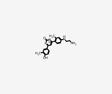 Cc1cc(-c2cc(-c3ccc(NCCN)cc3C)[nH]c(=O)n2)ccc1O